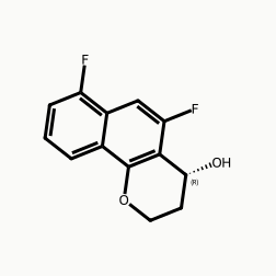 O[C@@H]1CCOc2c1c(F)cc1c(F)cccc21